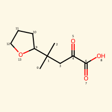 CC(C)(CC(=O)C(=O)O)C1CCCO1